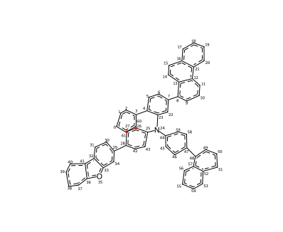 c1ccc(-c2ccc(-c3cccc4c3ccc3ccccc34)cc2N(c2ccc(-c3ccc4c(c3)oc3ccccc34)cc2)c2ccc(-c3cccc4ccccc34)cc2)cc1